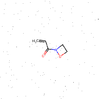 C=CC(=O)N1CCO1